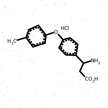 Cc1ccc(Oc2ccc(C(N)CC(=O)O)cc2)cc1.Cl